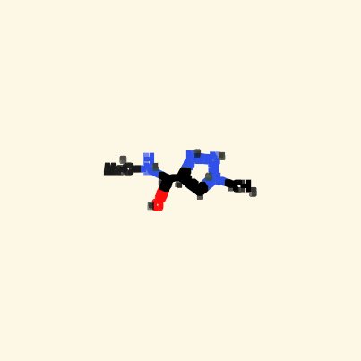 CONC(=O)c1cn(C)nn1